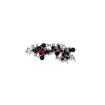 CC[C@@H](C)[C@H](N)C(=O)[C@H](NC(=O)[C@H](C)[C@H](Cc1ccccc1)NC(=O)[C@H](C)NC(=O)CNC(=O)[C@H]1CCCN1C(=O)[C@@H](NC(=O)[C@H](Cc1ccccc1)[C@H](C)NC(=O)[C@@H](NC(=O)[C@H](C)[C@H](CC(C)C)NC(=O)[C@H](C)N)N[C@@H](C=O)Cc1c[nH]c2ccccc12)N[C@@H](C=O)C(C)C)C(=O)N[C@@H](C)[C@@H](Cc1ccc(O)cc1)C(=O)N[C@@H](C)C(N)=O